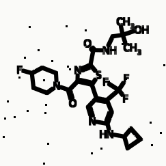 CC(C)(O)CNC(=O)c1nc(C(=O)N2CCC(F)CC2)c(-c2cnc(NC3CCC3)cc2C(F)(F)F)s1